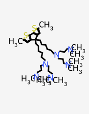 Cc1cc2c(s1)-c1sc(C)cc1C2(CCCCCCN(CCCN(C)C)CCCN(C)C)CCCCCCN(CCCN(C)C)CCCN(C)C